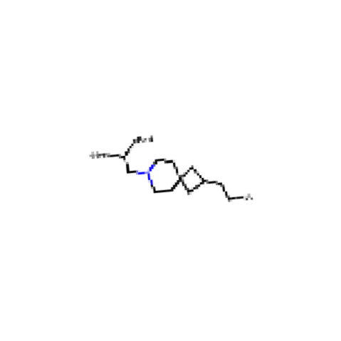 CCCCCCC(CCCCC)CN1CCC2(CC1)CC(CCC(C)CC)C2